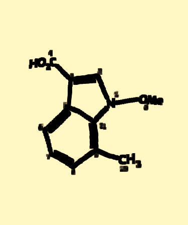 COn1cc(C(=O)O)c2cccc(C)c21